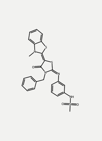 CN1C(=C2SC(=Nc3cccc(NS(C)(=O)=O)c3)N(Cc3ccccc3)C2=O)Sc2ccccc21